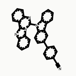 N#Cc1ccc(-c2ccc3c(c2)c2ccccc2n3-c2nc3ccccc3c3nc4ccccc4n23)cc1